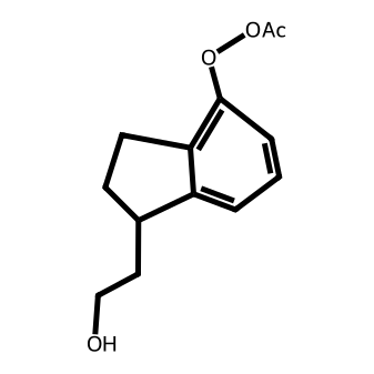 CC(=O)OOc1cccc2c1CCC2CCO